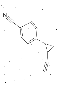 C#CC1CC1c1ccc(C#N)cc1